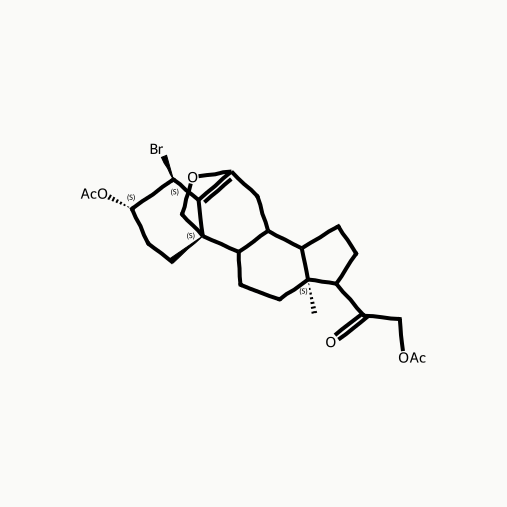 CC(=O)OCC(=O)C1CCC2C3CC4=C5[C@H](Br)[C@@H](OC(C)=O)CC[C@]5(CO4)C3CC[C@]12C